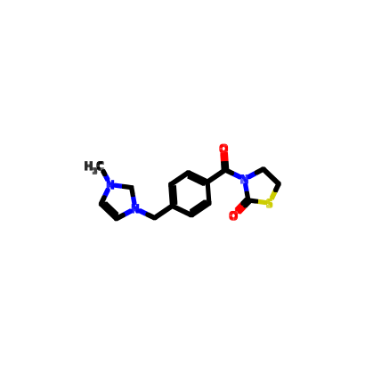 CN1C=CN(Cc2ccc(C(=O)N3CCSC3=O)cc2)C1